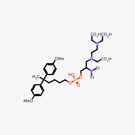 CCN(CC)C(COP(=O)(O)OCCCCC(C)(c1ccc(OC)cc1)c1ccc(OC)cc1)CN(CCN(CC(=O)O)CC(=O)O)CC(=O)O